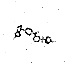 O=C(C1CCCN(S(=O)(=O)c2ccc(O)cc2)C1)N1CCN(c2ccnc3cc(F)ccc23)CC1